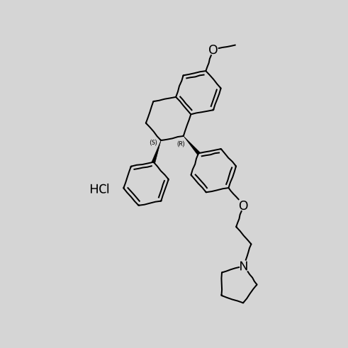 COc1ccc2c(c1)CC[C@H](c1ccccc1)[C@@H]2c1ccc(OCCN2CCCC2)cc1.Cl